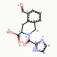 O=Cc1cccc2c1CC(C(=O)O)N(C(=O)c1ncc[nH]1)C2